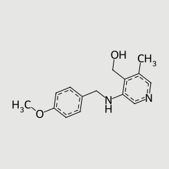 COc1ccc(CNc2cncc(C)c2CO)cc1